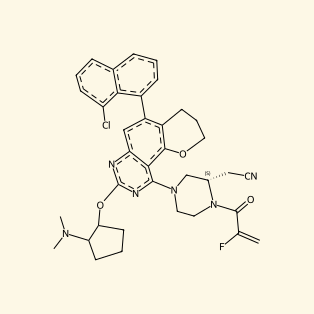 C=C(F)C(=O)N1CCN(c2nc(OC3CCCC3N(C)C)nc3cc(-c4cccc5cccc(Cl)c45)c4c(c23)OCCC4)C[C@@H]1CC#N